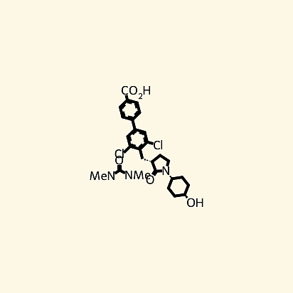 CNC(=O)NC.O=C(O)c1ccc(-c2cc(Cl)c(C[C@@H]3CCN([C@H]4CC[C@H](O)CC4)C3=O)c(Cl)c2)cc1